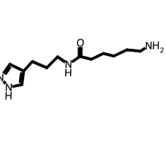 NCCCCCC(=O)NCCCc1cn[nH]c1